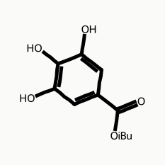 CC(C)COC(=O)c1cc(O)c(O)c(O)c1